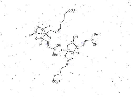 CCCCC[C@H](O)/C=C/[C@@H]1[C@H]2C/C(=C/CCCC(=O)O)O[C@H]2C[C@H]1O.CCCCC[C@H](O)/C=C/[C@H]1O[C@H]2C[C@H](O2)[C@@H]1C/C=C\CCCC(=O)O